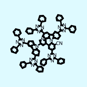 N#Cc1cc(-c2nc(-c3ccccc3)nc(-c3ccccc3)n2)cc(-c2cncc(-n3c4ccc(-c5nc(-c6ccccc6)nc(-c6ccccc6)n5)cc4c4cc(-c5nc(-c6ccccc6)nc(-c6ccccc6)n5)ccc43)c2)c1-n1c2ccc(-c3nc(-c4ccccc4)nc(-c4ccccc4)n3)cc2c2cc(-c3nc(-c4ccccc4)nc(-c4ccccc4)n3)ccc21